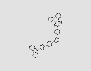 c1cc(-c2ccc(-c3ccc(-n4c5ccccc5c5ccccc54)cc3)cc2)cc(-c2ccc(-c3cnc4c5ccccc5c5ccccc5c4n3)cc2)c1